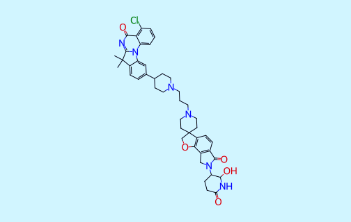 CC1(C)c2ccc(C3CCN(CCCN4CCC5(CC4)COc4c5ccc5c4CN(C4CCC(=O)NC4O)C5=O)CC3)cc2-n2c1nc(=O)c1c(Cl)cccc12